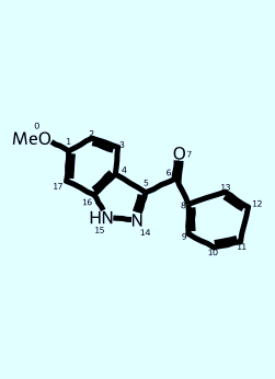 COc1ccc2c(C(=O)c3ccccc3)n[nH]c2c1